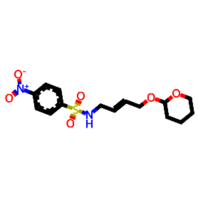 O=[N+]([O-])c1ccc(S(=O)(=O)NC/C=C/COC2CCCCO2)cc1